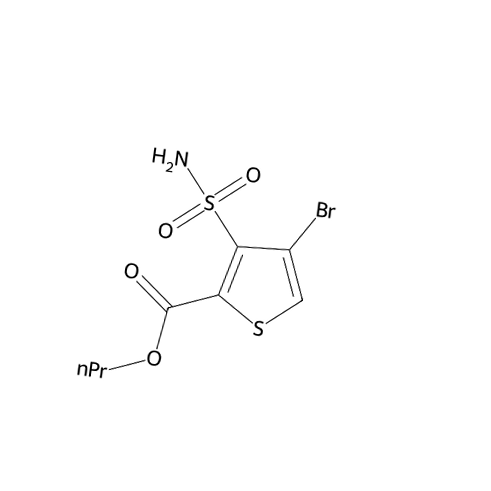 CCCOC(=O)c1scc(Br)c1S(N)(=O)=O